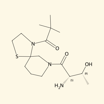 C[C@@H](O)[C@H](N)C(=O)N1CCCC2(C1)SCCN2C(=O)C(C)(C)C